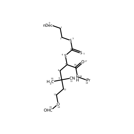 CCCCCCCCCCCCSC(=S)SC(CC(C)(C#N)CCOC=O)C(=O)NC(C)C